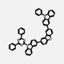 c1ccc(-c2nc(-c3ccccc3)nc(-n3c4ccccc4c4cc(-c5ccc6oc7ccc(-c8ccc9c(c8)c8ccccc8n9-c8ccccc8)cc7c6c5)ccc43)n2)cc1